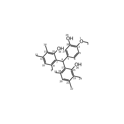 COc1ccc(C(c2c(C)cc(C)c(C)c2O)c2c(C)cc(C)c(C)c2O)cc1O